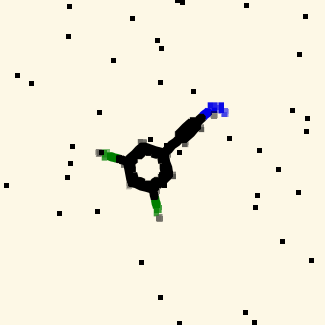 NC#Cc1cc(F)cc(F)c1